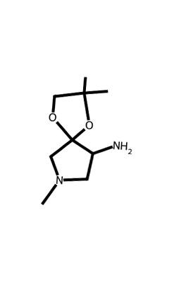 CN1CC(N)C2(C1)OCC(C)(C)O2